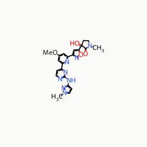 COc1cc(-c2cc([C@]3(O)CCN(C)C3=O)on2)nc(-c2ccnc(Nc3ccn(C)n3)n2)c1